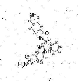 NC[C@H]1CC[C@H](C(=O)N[C@@H](Cc2ccccc2)c2nc3cc(CC(N)=O)ccc3[nH]2)CC1